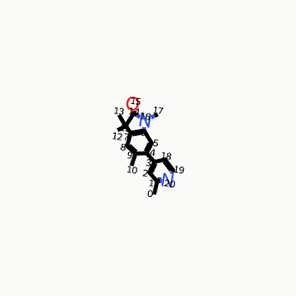 Cc1cc(-c2cc3c(cc2C)C(C)(C)C(=O)N3C)ccn1